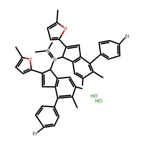 CCc1ccc(-c2c(C)c(C)cc3c2C=C(c2ccc(C)o2)[CH]3[Zr]([CH]2C(c3ccc(C)o3)=Cc3c2cc(C)c(C)c3-c2ccc(CC)cc2)=[Si](C)C)cc1.Cl.Cl